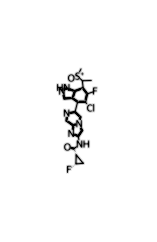 CC(c1c(F)c(Cl)c(-c2cn3cc(NC(=O)[C@@H]4C[C@@H]4F)nc3cn2)c2cn[nH]c12)[S+](C)[O-]